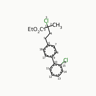 CCOC(=O)C(C)(Cl)CCc1ccc(-c2ccccc2Cl)cc1